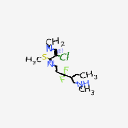 C=N/C=C(Cl)\C(=N/CCC(F)(F)C(CC)CNC)SC